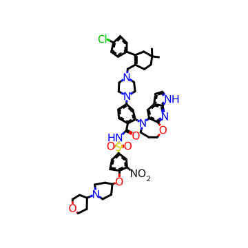 CC1(C)CCC(CN2CCN(c3ccc(C(=O)NS(=O)(=O)c4ccc(OC5CCN(C6CCOCC6)CC5)c([N+](=O)[O-])c4)c(N4CCCOc5nc6[nH]ccc6cc54)c3)CC2)=C(c2ccc(Cl)cc2)C1